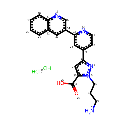 Cl.Cl.NCCCn1nc(-c2ccnc(-c3cnc4ccccc4c3)c2)cc1C(=O)O